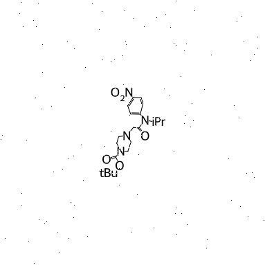 CC(C)N(C(=O)CN1CCN(C(=O)OC(C)(C)C)CC1)c1ccc([N+](=O)[O-])cc1